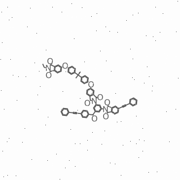 CCN1C(=O)c2ccc(Oc3ccc(C(C)(C)c4ccc(Oc5ccc6c(c5)C(=O)N(c5cc(C(=O)c7ccc(C#Cc8ccccc8)cc7)cc(N7C(=O)c8ccc(C#Cc9ccccc9)cc8C7=O)c5)C6=O)cc4)cc3)cc2C1=O